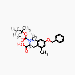 Cc1cc(OCc2ccccc2)cc(C)c1C[C@H](NC(=O)OC(C)(C)C)C(=O)O